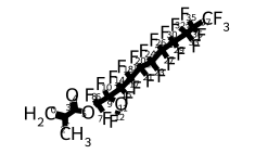 C=C(C)C(=O)OC(F)(F)C(F)(OF)C(F)(F)C(F)(F)C(F)(F)C(F)(F)C(F)(F)C(F)(F)C(F)(F)C(F)(F)C(F)(F)F